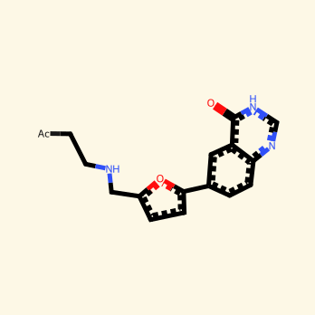 CC(=O)CCNCc1ccc(-c2ccc3nc[nH]c(=O)c3c2)o1